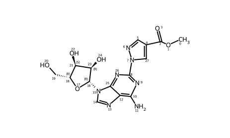 COC(=O)c1cnn(-c2nc(N)c3ncn([C@@H]4O[C@H](CO)[C@@H](O)[C@H]4O)c3n2)c1